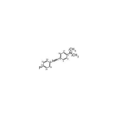 CN(C)c1ccc(C#Cc2ccc(F)cc2)cc1